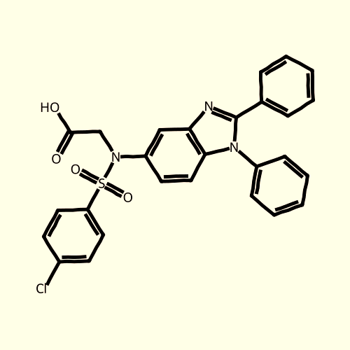 O=C(O)CN(c1ccc2c(c1)nc(-c1ccccc1)n2-c1ccccc1)S(=O)(=O)c1ccc(Cl)cc1